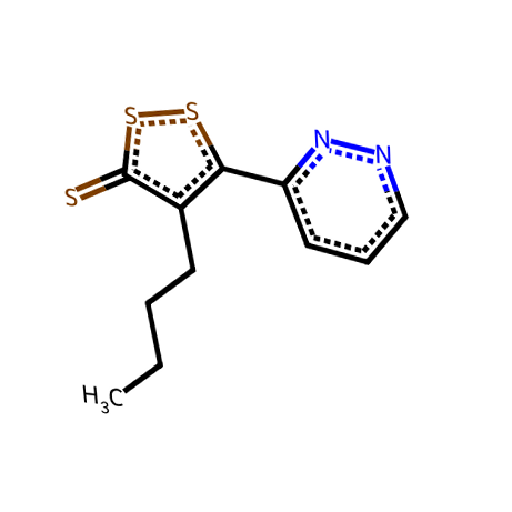 CCCCc1c(-c2cccnn2)ssc1=S